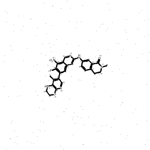 Cc1c(-c2cc3cc(Nc4ccc5c(c4)C(=O)N(C)CC5)ncc3c(N)c2F)cnc2c1NCCO2